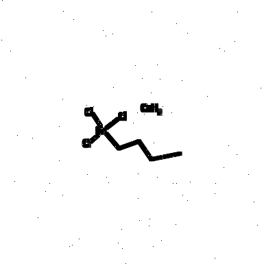 CCC[CH2][Sn]([Cl])([Cl])[Cl].[CaH2]